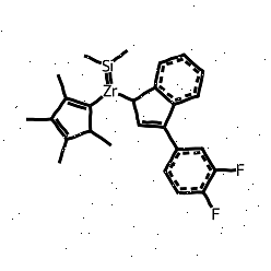 CC1=C(C)C(C)[C]([Zr]([CH]2C=C(c3ccc(F)c(F)c3)c3ccccc32)=[Si](C)C)=C1C